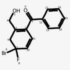 O=C(C1=C(CO)CC(F)(Br)C=C1)c1ccccc1